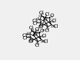 O=C1C2(Cl)C3(Cl)C4(Cl)C(Cl)(Cl)C5(Cl)C3(Cl)C1(Cl)C5(Cl)C24Cl.O=C1C2(Cl)C3(Cl)C4(Cl)C(Cl)(Cl)C5(Cl)C3(Cl)C1(Cl)C5(Cl)C24Cl